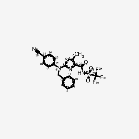 Cc1sc(N(Cc2ccccc2)c2ccc(C#N)cc2)nc1C(=O)NS(=O)(=O)C(F)(F)F